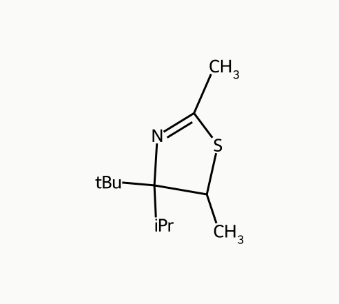 CC1=NC(C(C)C)(C(C)(C)C)C(C)S1